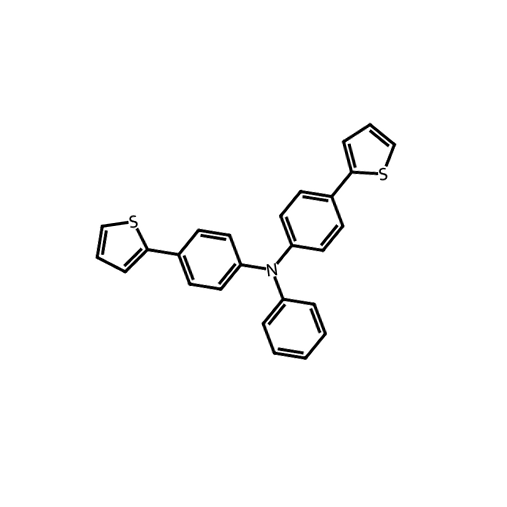 c1ccc(N(c2ccc(-c3cccs3)cc2)c2ccc(-c3cccs3)cc2)cc1